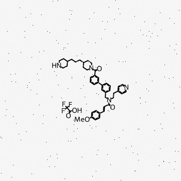 COc1ccc(C=CC(=O)N(CCc2ccncc2)Cc2cccc(-c3cccc(C(=O)N4CCC(CCCC5CCNCC5)CC4)c3)c2)cc1.O=C(O)C(F)(F)F